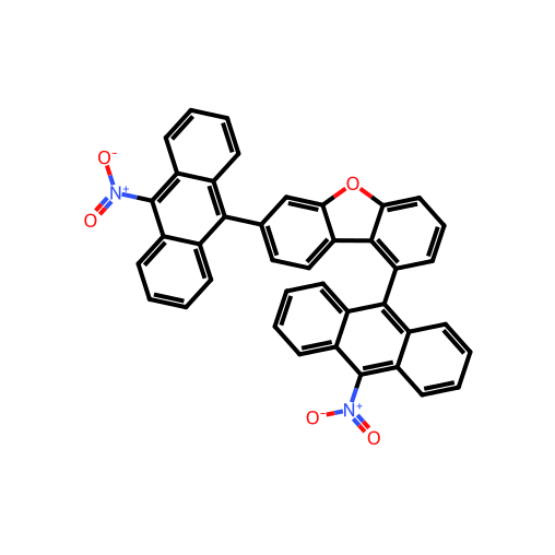 O=[N+]([O-])c1c2ccccc2c(-c2ccc3c(c2)oc2cccc(-c4c5ccccc5c([N+](=O)[O-])c5ccccc45)c23)c2ccccc12